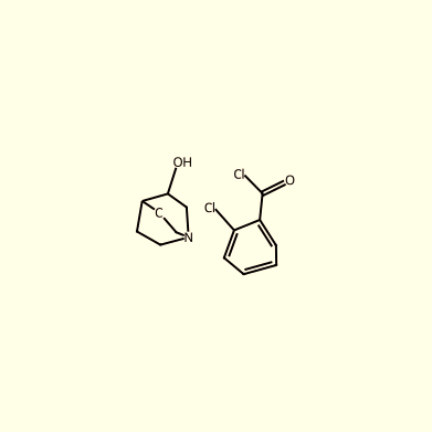 O=C(Cl)c1ccccc1Cl.OC1CN2CCC1CC2